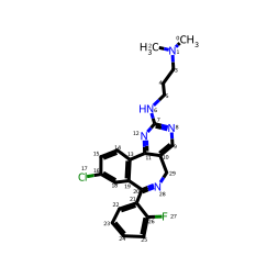 CN(C)CCCNc1ncc2c(n1)-c1ccc(Cl)cc1C(c1ccccc1F)=NC2